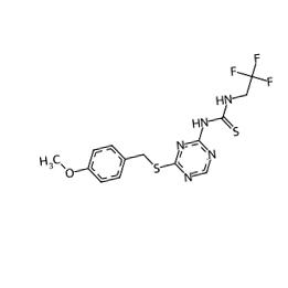 COc1ccc(CSc2ncnc(NC(=S)NCC(F)(F)F)n2)cc1